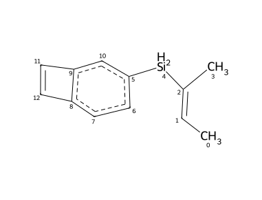 CC=C(C)[SiH2]c1ccc2c(c1)C=C2